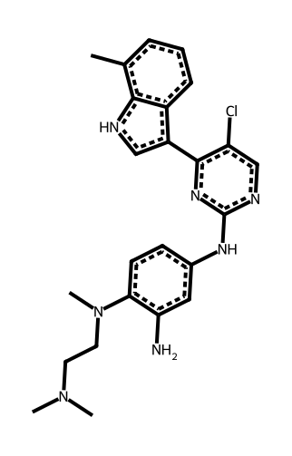 Cc1cccc2c(-c3nc(Nc4ccc(N(C)CCN(C)C)c(N)c4)ncc3Cl)c[nH]c12